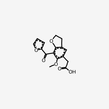 COc1c(CC(=O)O)cc2c(c1C(=O)c1ccco1)OCC2